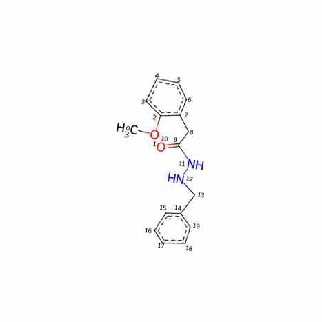 COc1ccccc1CC(=O)NNCc1ccccc1